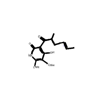 C/C=C/CC(C)C(=O)c1c(O)c(OC)c(OC)[nH]c1=O